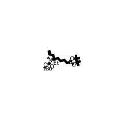 C=CCC(CC)(CCCCB1OC(C)(C)C(C)(C)O1)N(C)C(=O)OC(C)(C)C